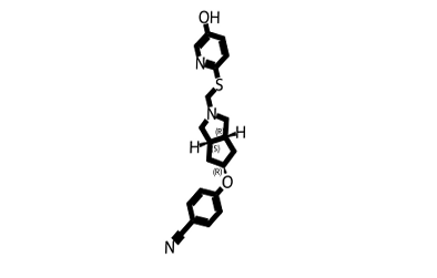 N#Cc1ccc(O[C@@H]2C[C@@H]3CN(CSc4ccc(O)cn4)C[C@@H]3C2)cc1